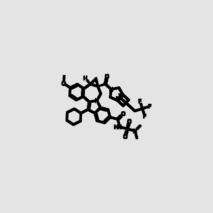 COc1ccc2c(c1)[C@@H]1C[C@]1(C(=O)N1CC34CCC3(CN(CC(F)(F)F)C4)C1)Cn1c-2c(C2CCCCC2)c2ccc(C(=O)NS(=O)(=O)N(C)C)cc21